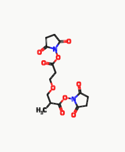 CC(COCCC(=O)ON1C(=O)CCC1=O)C(=O)ON1C(=O)CCC1=O